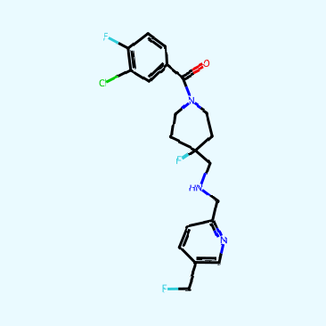 O=C(c1ccc(F)c(Cl)c1)N1CCC(F)(CNCc2ccc(CF)cn2)CC1